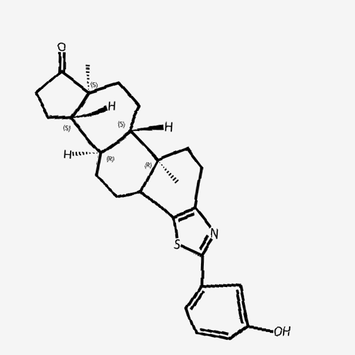 C[C@]12CCc3nc(-c4cccc(O)c4)sc3C1CC[C@@H]1[C@@H]2CC[C@]2(C)C(=O)CC[C@@H]12